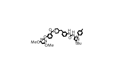 COc1cc(OC)nc(Oc2cccc(C(=O)N3CCC(Cc4cccc(NC(=O)Nc5cc(C(C)(C)C)nn5-c5ccc(C)cc5)c4)CC3)c2)n1